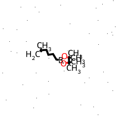 C=C(C)CCCCB1OC(C)(C)C(C)(C)O1